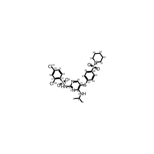 CC(C)Nc1nc(NS(=O)(=O)c2ccc(Cl)cc2Cl)ncc1Sc1ccc(S(=O)(=O)N2CCCCC2)cc1